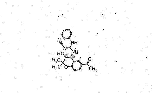 CC(=O)c1ccc2c(c1)[C@H](NC(=NC#N)Nc1ccccc1)[C@@H](O)C(C)(C)O2